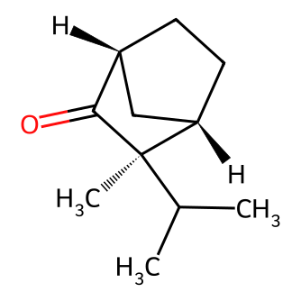 CC(C)[C@@]1(C)C(=O)[C@@H]2CC[C@H]1C2